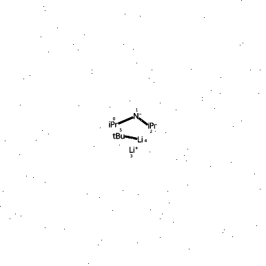 CC(C)[N-]C(C)C.[Li+].[Li][C](C)(C)C